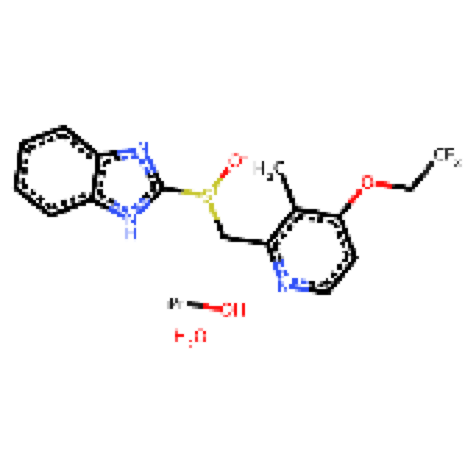 CC(C)O.Cc1c(OCC(F)(F)F)ccnc1C[S+]([O-])c1nc2ccccc2[nH]1.O